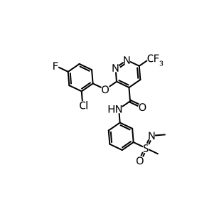 CN=S(C)(=O)c1cccc(NC(=O)c2cc(C(F)(F)F)nnc2Oc2ccc(F)cc2Cl)c1